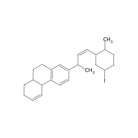 CC(/C=C\C1CC(I)CCC1C)c1ccc2c(c1)CCC1CCC=CC21